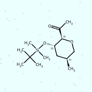 CC(=O)[C@H]1OC[C@@H](C)C[C@@H]1O[Si](C)(C)C(C)(C)C